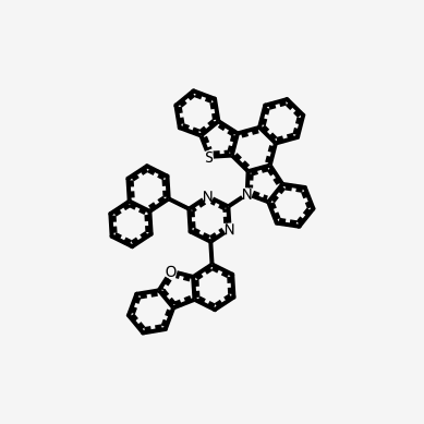 c1ccc2c(-c3cc(-c4cccc5c4oc4ccccc45)nc(-n4c5ccccc5c5c6ccccc6c6c7ccccc7sc6c54)n3)cccc2c1